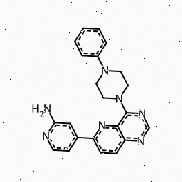 Nc1cc(-c2ccc3ncnc(N4CCN(c5ccccc5)CC4)c3n2)ccn1